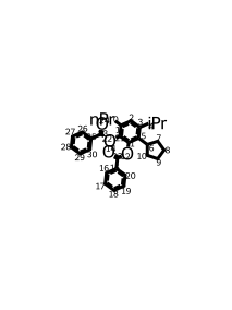 CCCc1cc(C(C)C)c(C2CCCC2)c(OC(=O)c2ccccc2)c1OC(=O)c1ccccc1